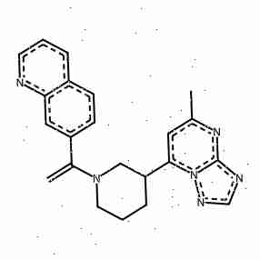 C=C(c1ccc2cccnc2c1)N1CCCC(c2cc(C)nc3ncnn23)C1